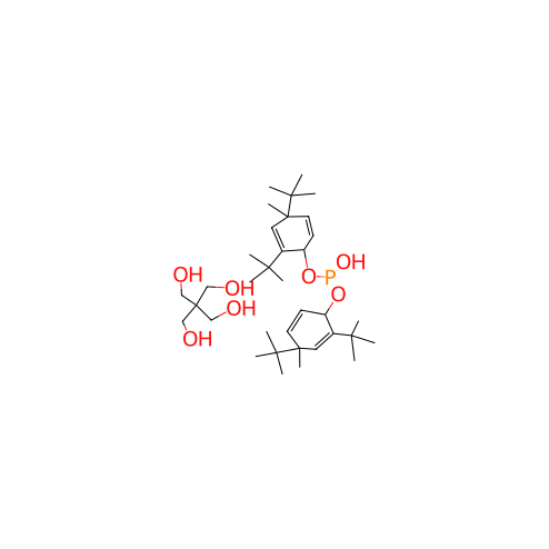 CC(C)(C)C1=CC(C)(C(C)(C)C)C=CC1OP(O)OC1C=CC(C)(C(C)(C)C)C=C1C(C)(C)C.OCC(CO)(CO)CO